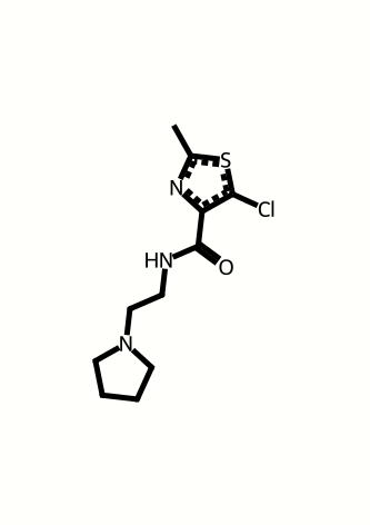 Cc1nc(C(=O)NCCN2CCCC2)c(Cl)s1